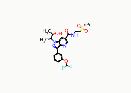 CCCS(=O)(=O)CCNC(=O)c1cnc2c(-c3cccc(OC(F)F)c3)nn(C(C)C(C)O)c2c1